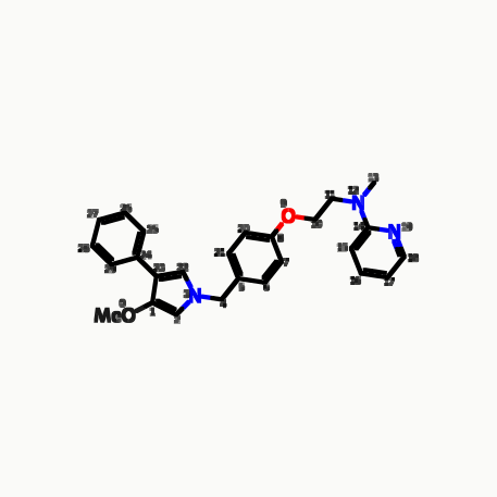 COc1cn(Cc2ccc(OCCN(C)c3ccccn3)cc2)cc1-c1ccccc1